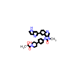 C[C@H](O)C(=O)N1CCC(c2ccc(-n3c(=O)n(C)c4cnc5ccc(-c6cnc7cc[nH]c7c6)cc5c43)cc2)CC1